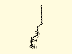 CCCCCCCCCCCCCC/C=C\CC/C=C\CCCC(=O)O[C@H](CC)CCCC/C(C)=C\C(O)=N\CCS(=O)(=O)O